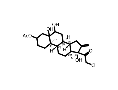 C=C1C[C@H]2[C@@H]3CC(O)C4(O)CC(OC(C)=O)CC[C@]4(C)[C@H]3CC[C@]2(C)[C@@]1(O)C(=O)CCl